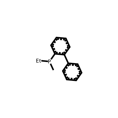 CCP(C)c1ccccc1-c1ccccc1